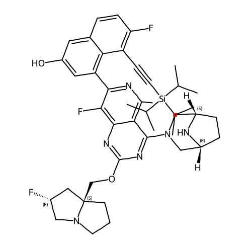 Cc1nc(-c2cc(O)cc3ccc(F)c(C#C[Si](C(C)C)(C(C)C)C(C)C)c23)c(F)c2nc(OC[C@@]34CCCN3C[C@H](F)C4)nc(N3C[C@H]4CC[C@@H](C3)N4)c12